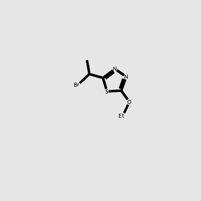 CCOc1nnc(C(C)Br)s1